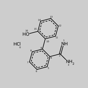 Cl.N=C(N)c1ccccc1-c1ccccc1O